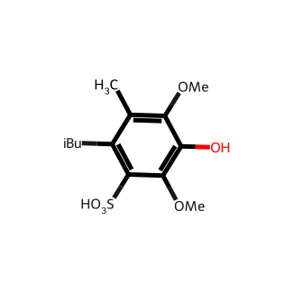 CCC(C)c1c(C)c(OC)c(O)c(OC)c1S(=O)(=O)O